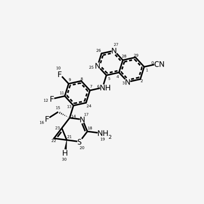 N#Cc1cnc2c(Nc3cc(F)c(F)c([C@@]4(CF)N=C(N)S[C@@H]5C=C54)c3)ncnc2c1